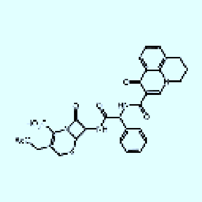 CC(=O)OCC1=C(C(=O)O)N2C(=O)C(NC(=O)C(NC(=O)c3cn4c5c(cccc5c3=O)CCC4)c3ccccc3)C2SC1